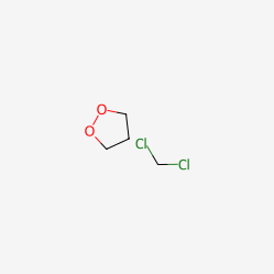 C1COOC1.ClCCl